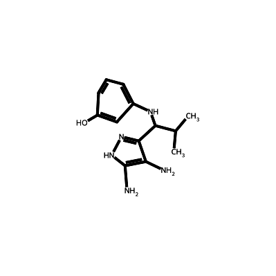 CC(C)C(Nc1cccc(O)c1)c1n[nH]c(N)c1N